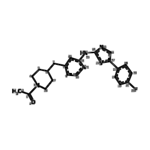 CC(=O)N1CCC(Cc2ccnc(Nc3ncc(-c4ccc(F)cc4)s3)c2)CC1